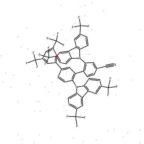 N#Cc1ccc(-c2cc(-c3cc(C(F)(F)F)cc(C(F)(F)F)c3)ccc2-n2c3ccc(C(F)(F)F)cc3c3cc(C(F)(F)F)ccc32)c(-n2c3ccc(C(F)(F)F)cc3c3cc(C(F)(F)F)ccc32)c1